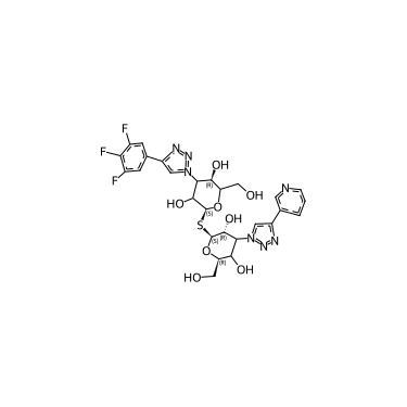 OCC1O[C@@H](S[C@@H]2O[C@H](CO)C(O)C(n3cc(-c4cccnc4)nn3)[C@H]2O)C(O)C(n2cc(-c3cc(F)c(F)c(F)c3)nn2)[C@H]1O